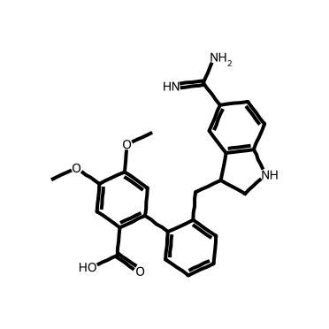 COc1cc(C(=O)O)c(-c2ccccc2CC2CNc3ccc(C(=N)N)cc32)cc1OC